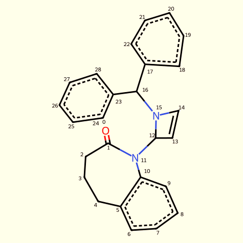 O=C1CCCc2ccccc2N1C1C=CN1C(c1ccccc1)c1ccccc1